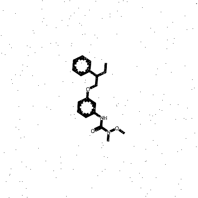 CCC(COc1cccc(NC(=O)N(C)OC)c1)c1ccccc1